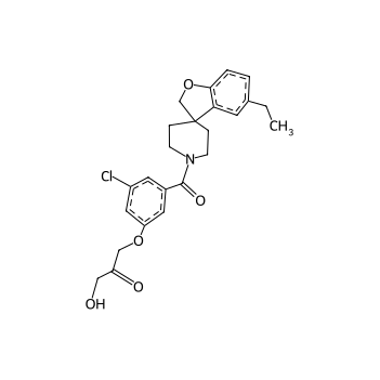 CCc1ccc2c(c1)C1(CCN(C(=O)c3cc(Cl)cc(OCC(=O)CO)c3)CC1)CO2